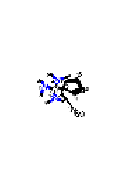 C[N](C)[Ti]([N](C)C)([N](C)C)[C]1(CC(C)(C)C)C=CC=C1